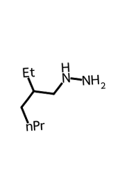 CCCCC(CC)CNN